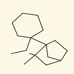 CCC1(C23CCC(CC2(C)C)C3)CCCCC1